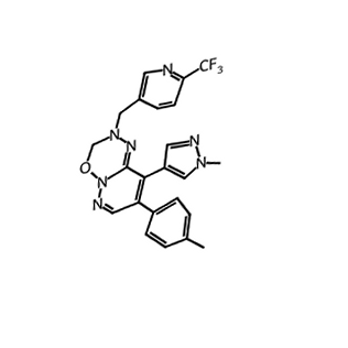 Cc1ccc(C2=C(c3cnn(C)c3)C3=NN(Cc4ccc(C(F)(F)F)nc4)CON3N=C2)cc1